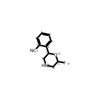 N#Cc1ccccc1C1CNCC(F)O1